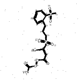 CC(C)(C)C(CC(=O)OOC(N)=O)S(=O)(=O)CC=Cc1ccccc1S(C)(=O)=O